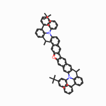 CC(C)c1cccc(-c2ccccc2)c1N(c1cccc(C(C)(C)C)c1)c1ccc2cc3c(cc2c1)oc1cc2cc(N(c4cccc(C(C)(C)C)c4)c4c(-c5ccccc5)cccc4C(C)C)ccc2cc13